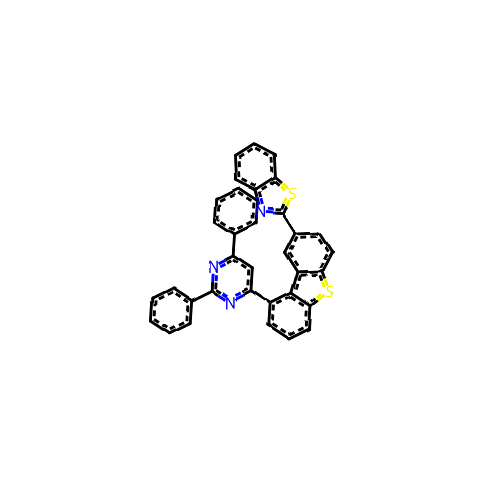 c1ccc(-c2cc(-c3cccc4sc5ccc(-c6nc7ccccc7s6)cc5c34)nc(-c3ccccc3)n2)cc1